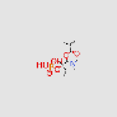 C=C(C)C(=O)OC(N(C)C)C(C)(CC)OP(=O)(O)O